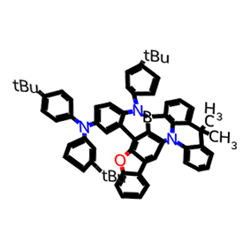 CC(C)(C)c1ccc(N2B3c4cccc5c4N(c4ccccc4C5(C)C)c4cc5c(oc6ccccc65)c(c43)-c3cc(N(c4ccc(C(C)(C)C)cc4)c4cccc(C(C)(C)C)c4)ccc32)cc1